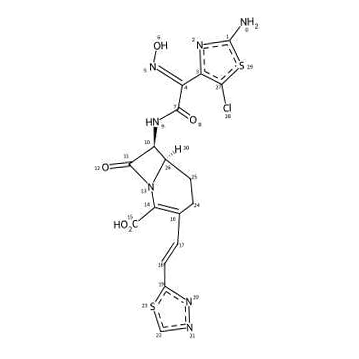 Nc1nc(C(=NO)C(=O)N[C@@H]2C(=O)N3C(C(=O)O)=C(C=Cc4nncs4)CC[C@H]23)c(Cl)s1